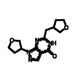 O=c1[nH]c(CC2CCOC2)nc2c1cnn2C1CCOC1